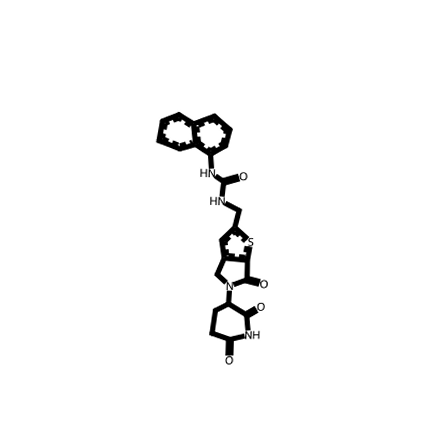 O=C1CCC(N2Cc3cc(CNC(=O)Nc4cccc5ccccc45)sc3C2=O)C(=O)N1